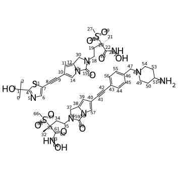 CC(C)(O)c1ncc(C#Cc2cc3n(c2)C(=O)N(CC[C@](C)(C(=O)NO)S(C)(=O)=O)C3)s1.C[C@@](CCN1Cc2cc(C#Cc3ccc(CN4CCC(N)CC4)cc3)cn2C1=O)(C(=O)NO)S(C)(=O)=O